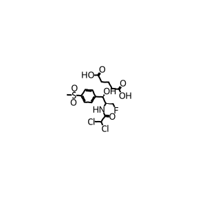 CS(=O)(=O)c1ccc([C@@H](O)[C@@H](CF)NC(=O)C(Cl)Cl)cc1.O=C(O)CCCC(=O)O